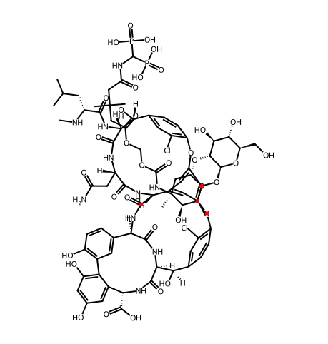 CN[C@H](CC(C)C)C(=O)N[C@H]1C(=O)N[C@@H](CC(N)=O)C(=O)N[C@H]2C(=O)N[C@H]3C(=O)N[C@H](C(=O)N[C@H](C(=O)O)c4cc(O)cc(O)c4-c4cc3ccc4O)[C@H](O)c3ccc(c(Cl)c3)Oc3cc2cc(c3O[C@@H]2O[C@H](CO)[C@@H](O)[C@H](O)[C@H]2O[C@H]2C[C@](C)(NC(=O)OCOC(=O)CC(C)(C)CC(=O)NC(P(=O)(O)O)P(=O)(O)O)[C@H](O)[C@H](C)O2)Oc2ccc(cc2Cl)[C@H]1O